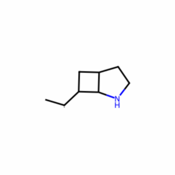 C[CH]C1CC2CCNC12